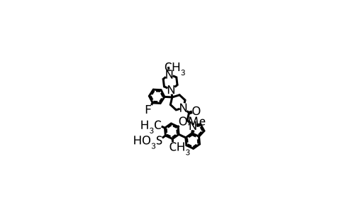 COc1cc(C)c(S(=O)(=O)O)c(C)c1-c1cccc2ccn(CC(=O)N3CCC(c4cccc(F)c4)(N4CCN(C)CC4)CC3)c12